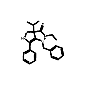 CCNC(=O)C1(C(C)C)ONC(c2ccccc2)=C1OCc1ccccc1